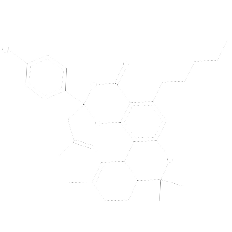 CCCCCc1cc2c(c3c1C(=O)OC(CC(C)=O)(c1ccc(Cl)cc1)O3)C1C=C(C)CCC1C(C)(C)O2